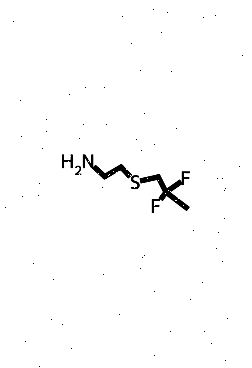 CC(F)(F)CSCCN